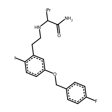 CC(C)C(NCCc1cc(OCc2ccc(F)cc2)ccc1I)C(N)=O